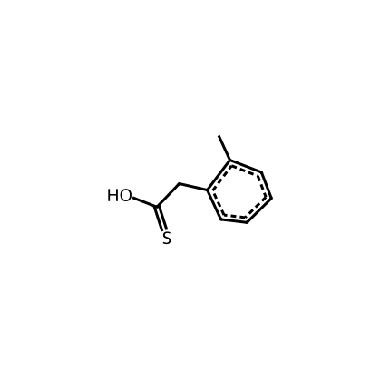 Cc1ccccc1CC(O)=S